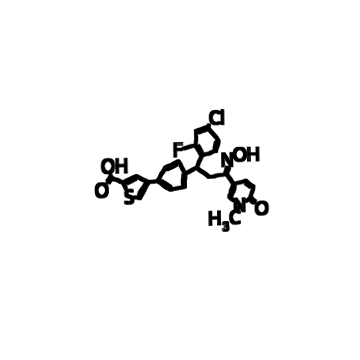 Cn1cc(/C(CC(c2ccc(-c3csc(C(=O)O)c3)cc2)c2ccc(Cl)cc2F)=N\O)ccc1=O